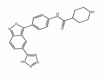 O=C(Nc1ccc(-c2onc3ccc(-c4nnn[nH]4)cc23)cc1)C1CCNCC1